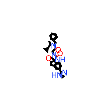 CC(C1CC1)N(Cc1ccccc1)C(=O)CN1C(=O)NC2(CCc3cc(-c4ncc[nH]4)ccc32)C1=O